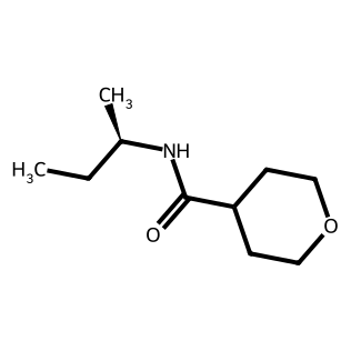 CC[C@@H](C)NC(=O)C1CCOCC1